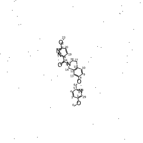 COc1ccc(COc2ccc3c(c2)CN(C(=O)c2ccc(OC)nn2)CC3)nc1